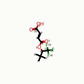 CC(C)(C)C(OC(=O)C=CC(=O)O)C(F)(F)F